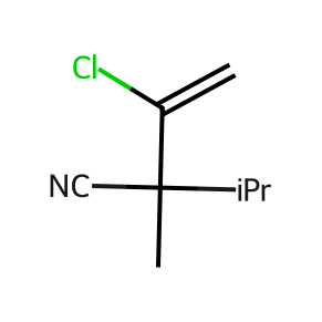 C=C(Cl)C(C)(C#N)C(C)C